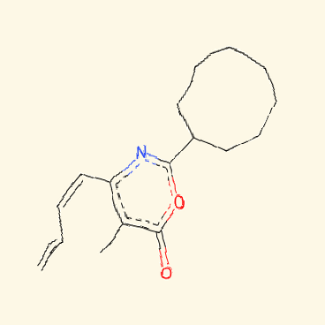 C=C/C=C\c1nc(C2CCCCCCC2)oc(=O)c1C